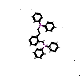 c1ccc(P(CCc2ccccc2CP(c2ccccc2)c2ccccc2)c2ccccc2)cc1